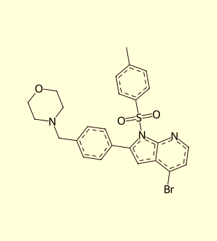 Cc1ccc(S(=O)(=O)n2c(-c3ccc(CN4CCOCC4)cc3)cc3c(Br)ccnc32)cc1